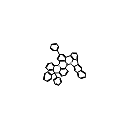 c1ccc(-c2cc3c4c(c2)N2c5ccccc5C(c5ccccc5)(c5ccccc5)c5cccc(c52)B4n2c4cc5ccccc5cc4c4cccc-3c42)cc1